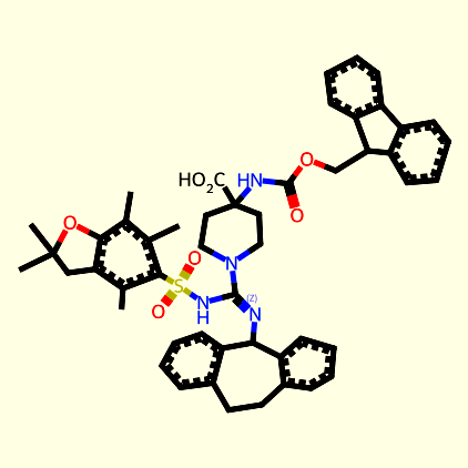 Cc1c(C)c(S(=O)(=O)N/C(=N\C2c3ccccc3CCc3ccccc32)N2CCC(NC(=O)OCC3c4ccccc4-c4ccccc43)(C(=O)O)CC2)c(C)c2c1OC(C)(C)C2